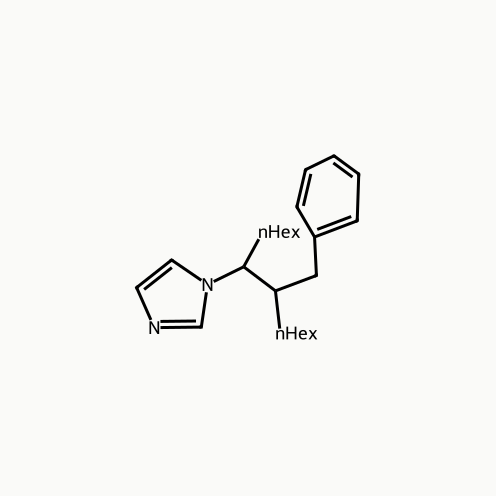 CCCCCCC(Cc1ccccc1)C(CCCCCC)n1ccnc1